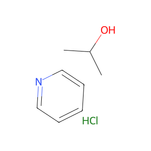 CC(C)O.Cl.c1ccncc1